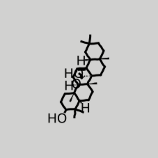 CC1(C)CC[C@]2(C)CC[C@]3(C(=O)O)C(=CC[C@@H]4[C@@]5(C)CCC(O)C(C)(C)[C@@H]5CC[C@]43C)[C@@H]2C1